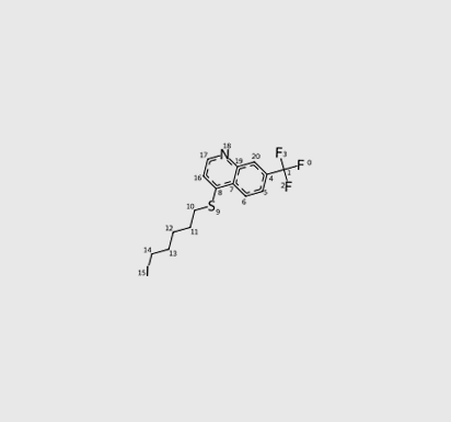 FC(F)(F)c1ccc2c(SCCCCCI)ccnc2c1